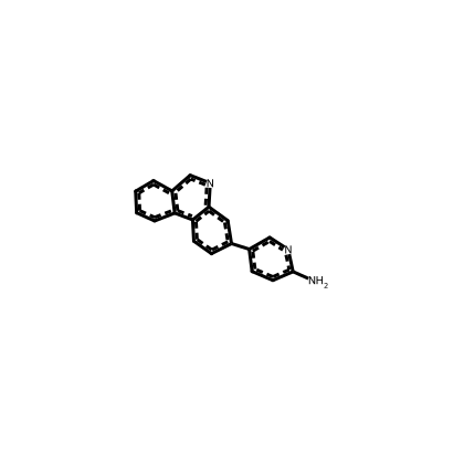 Nc1ccc(-c2ccc3c(c2)ncc2ccccc23)cn1